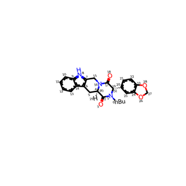 CCCCN1C(=O)[C@H]2Cc3c([nH]c4ccccc34)CN2C(=O)[C@@H]1c1ccc2c(c1)OCO2